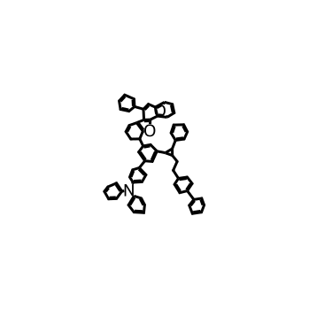 C1=Cc2c(oc3c2c(-c2ccccc2)cc2c4ccc(o4)c23)C(c2cc(-c3ccc(N(c4ccccc4)c4ccccc4)cc3)cc(C3C(CCc4ccc(-c5ccccc5)cc4)C3c3ccccc3)c2)C1